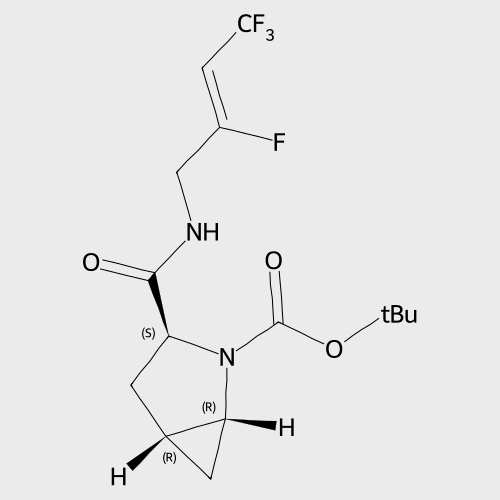 CC(C)(C)OC(=O)N1[C@@H]2C[C@@H]2C[C@H]1C(=O)NCC(F)=CC(F)(F)F